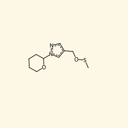 CSOCc1cnn(C2CCCCO2)c1